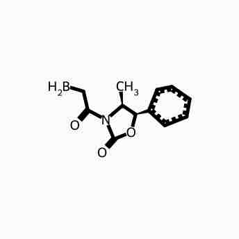 BCC(=O)N1C(=O)O[C@H](c2ccccc2)[C@@H]1C